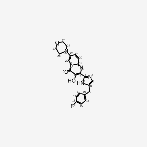 O=c1c(O)c(-c2ncc(Cc3ccc(F)cc3)[nH]2)nc2ccc(N3CCOCC3)cn12